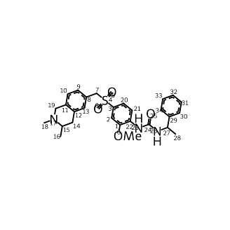 COc1cc(S(=O)(=O)Cc2ccc3c(c2)CC(C)N(C)C3)ccc1NC(=O)NC(C)c1ccccc1